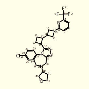 FC(F)(F)c1cccc(N2CC(C3CCC3c3nnc4n3-c3ccc(Cl)cc3CN([C@H]3CCOC3)C4)C2)n1